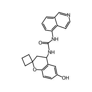 O=C(Nc1cccc2cnccc12)NC1CC2(CCC2)Oc2ccc(O)cc21